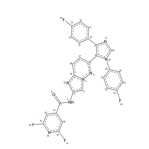 O=C(Nc1cn2nc(-c3c(-c4ccc(F)cc4)ncn3-c3ccc(F)cc3)ccc2n1)c1cc(F)nc(F)c1